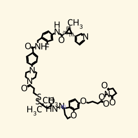 C[C@H]1[C@H](C(=O)Nc2ccc(CNC(=O)c3ccc(N4CCN(C(=O)CCSSC(C)(C)CC(=O)N/N=C5\CCOc6cc(OCCCC(=O)ON7C(=O)CCC7=O)ccc65)CC4)cc3)c(F)c2)[C@H]1c1cccnc1